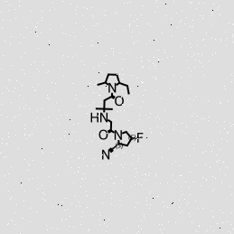 CCC1CCC(C)N1C(=O)CC(C)(C)NCC(=O)N1C[C@@H](F)C[C@H]1C#N